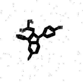 CC(C)=Cc1c(C#N)c2cc(F)ccc2n1-c1ccc(O)cc1